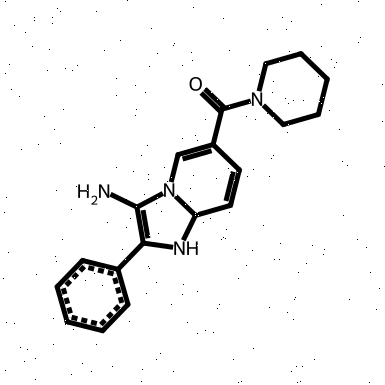 NC1=C(c2ccccc2)NC2C=CC(C(=O)N3CCCCC3)=CN12